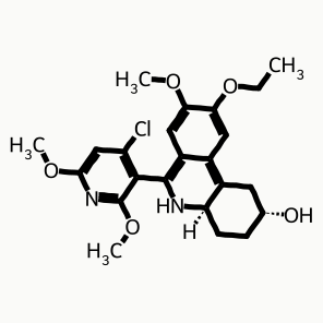 CCOc1cc2c(cc1OC)=C(c1c(Cl)cc(OC)nc1OC)N[C@@H]1CC[C@@H](O)CC=21